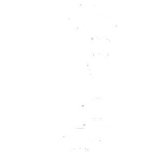 O=C(CCCC(=O)Cc1cccc2ccccc12)Cc1cccc2ccccc12